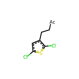 CC(=O)CCc1cc(Cl)sc1Cl